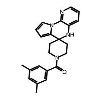 Cc1cc(C)cc(C(=O)N2CCC3(CC2)Nc2cccnc2-n2cccc23)c1